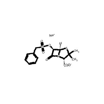 CC1(C)S[C@@H]2[C@H](OS(=O)(=O)Cc3ccccc3)C(=O)N2[C@H]1C(=O)[O-].[Na+]